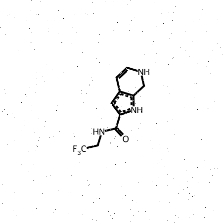 O=C(NCC(F)(F)F)c1cc2c([nH]1)CNC=C2